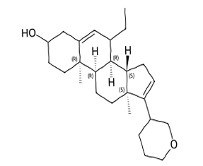 CCC1C=C2CC(O)CC[C@]2(C)[C@@H]2CC[C@]3(C)C(C4CCCOC4)=CC[C@H]3[C@H]12